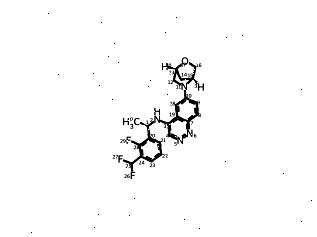 C[C@@H](Nc1cnnc2ccc(N3C[C@H]4C[C@@H]3CO4)cc12)c1cccc(C(F)F)c1F